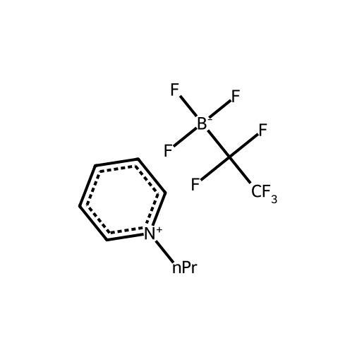 CCC[n+]1ccccc1.F[B-](F)(F)C(F)(F)C(F)(F)F